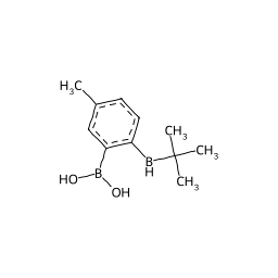 Cc1ccc(BC(C)(C)C)c(B(O)O)c1